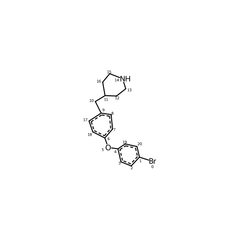 Brc1ccc(Oc2ccc(CC3CCNCC3)cc2)cc1